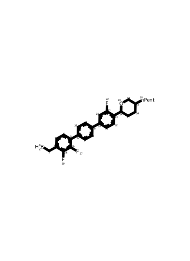 BCc1ccc(-c2ccc(-c3ccc(C4CCC(CCCCC)CO4)c(F)c3)cc2)c(F)c1F